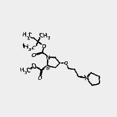 COC(=O)[C@@H]1CC(OCCCN2CCCC2)CN1C(=O)OC(C)(C)C